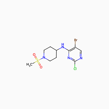 CS(=O)(=O)N1CCC(Nc2nc(Cl)ncc2Br)CC1